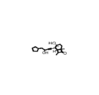 CC1C(=O)[C@@]2(C)CC[C@@H](O)[C@H](C#C[C@@H](O)CC3CCCC3)[C@@H]12